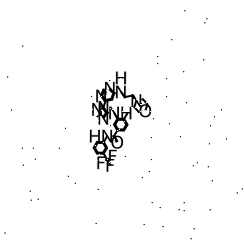 Cc1ccc(C(=O)Nc2cccc(C(F)(F)F)c2)cc1Nc1ncnn1-c1cc(NCCN2CCOCC2)ncn1